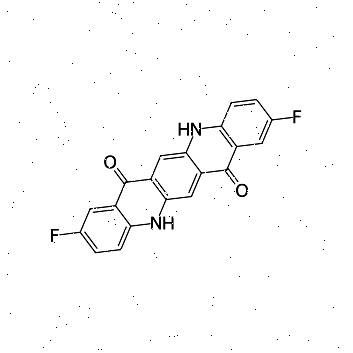 O=c1c2cc(F)ccc2[nH]c2cc3c(=O)c4cc(F)ccc4[nH]c3cc12